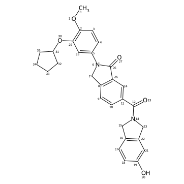 COc1ccc(N2Cc3ccc(C(=O)N4Cc5ccc(O)cc5C4)cc3C2=O)cc1OC1CCCC1